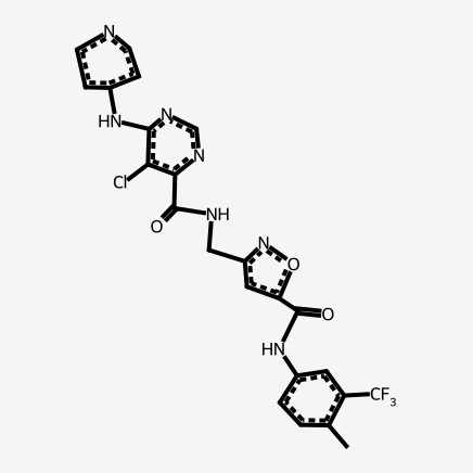 Cc1ccc(NC(=O)c2cc(CNC(=O)c3ncnc(Nc4ccncc4)c3Cl)no2)cc1C(F)(F)F